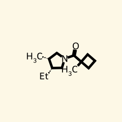 CC[C@H]1CN(C(=O)C2(C)CCC2)C[C@H]1C